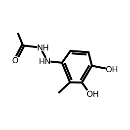 CC(=O)NNc1ccc(O)c(O)c1C